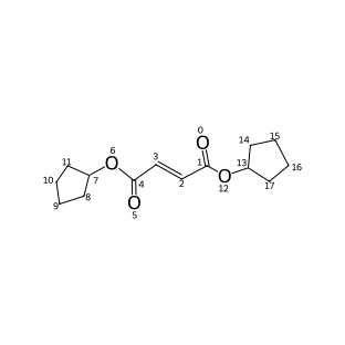 O=C(/C=C/C(=O)OC1CCCC1)OC1CCCC1